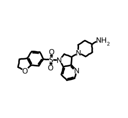 NC1CCN(C2CN(S(=O)(=O)c3ccc4c(c3)OCC4)c3cccnc32)CC1